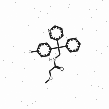 COCC(=O)NCC(c1ccccc1)(c1ccc(F)cc1)c1cccnc1